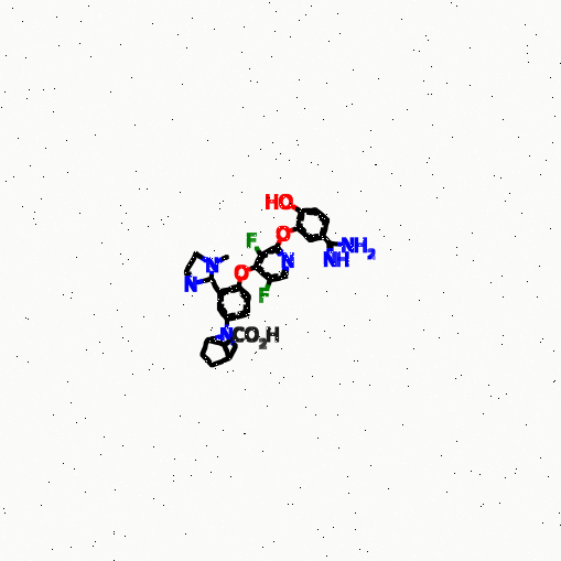 CN1CC=NC1c1cc(N2CC3CCC2C3C(=O)O)ccc1Oc1c(F)cnc(Oc2cc(C(=N)N)ccc2O)c1F